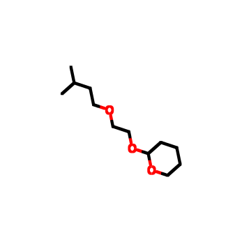 CC(C)CCOCCOC1CCCCO1